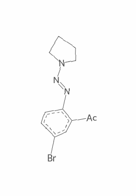 CC(=O)c1cc(Br)ccc1N=NN1CCCC1